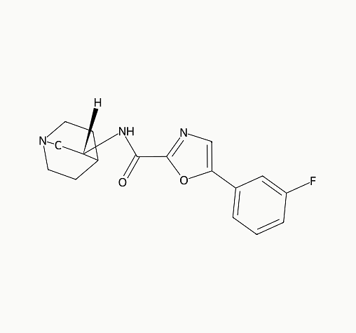 O=C(N[C@H]1CN2CCC1CC2)c1ncc(-c2cccc(F)c2)o1